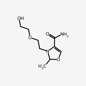 CC1OC=C(C(N)=O)N1CCOCCO